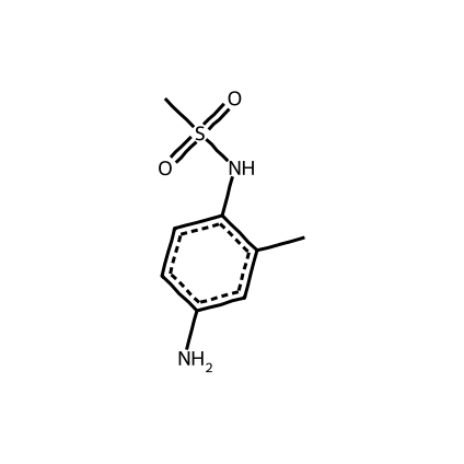 Cc1cc(N)ccc1NS(C)(=O)=O